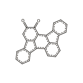 O=c1cc2c3ccccc3c3c4cccc5c6ccccc6c(c(c1=O)c23)c54